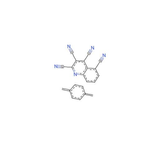 C=c1ccc(=C)cc1.N#Cc1nc2cccc(C#N)c2c(C#N)c1C#N